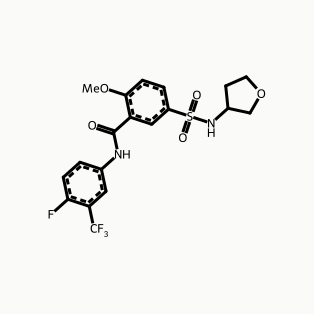 COc1ccc(S(=O)(=O)NC2CCOC2)cc1C(=O)Nc1ccc(F)c(C(F)(F)F)c1